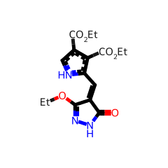 CCOC(=O)c1c[nH]c(C=C2C(=O)NN=C2OCC)c1C(=O)OCC